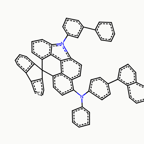 c1ccc(-c2cccc(-n3c4cccc5c4c4c6c(ccc(N(c7ccccc7)c7ccc(-c8cccc9ccccc89)cc7)c6ccc43)C53c4ccccc4-c4ccccc43)c2)cc1